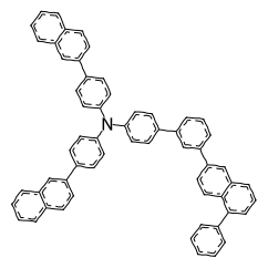 c1ccc(-c2cccc3cc(-c4cccc(-c5ccc(N(c6ccc(-c7ccc8ccccc8c7)cc6)c6ccc(-c7ccc8ccccc8c7)cc6)cc5)c4)ccc23)cc1